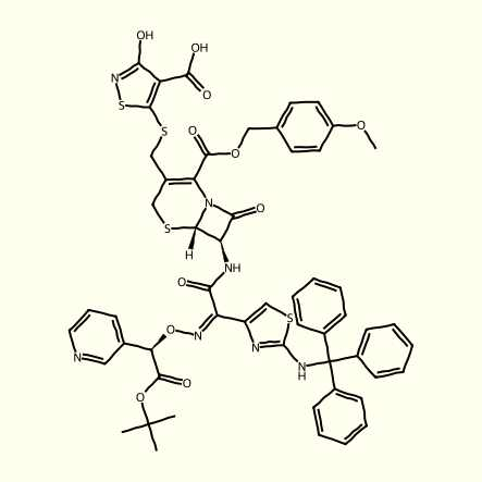 COc1ccc(COC(=O)C2=C(CSc3snc(O)c3C(=O)O)CS[C@H]3[C@H](NC(=O)/C(=N\O[C@@H](C(=O)OC(C)(C)C)c4cccnc4)c4csc(NC(c5ccccc5)(c5ccccc5)c5ccccc5)n4)C(=O)N23)cc1